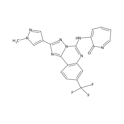 Cn1cc(-c2nc3c4ccc(C(F)(F)F)cc4nc(Nc4ccccnc4=O)n3n2)cn1